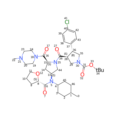 CC1CCC(N(C(=O)[C@@H]2CCCO2)[C@H]2C[C@@H](C(=O)N3CCN(C)CC3)N(C(=O)[C@@H]3CN(C(=O)OC(C)(C)C)C[C@H]3c3ccc(Cl)cc3)C2)CC1